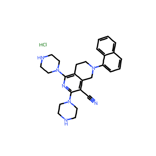 Cl.N#Cc1c(N2CCNCC2)nc(N2CCNCC2)c2c1CN(c1cccc3ccccc13)CC2